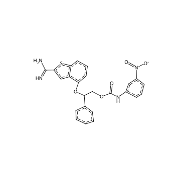 N=C(N)c1cc2c(OC(COC(=O)Nc3cccc([N+](=O)[O-])c3)c3ccccc3)cccc2s1